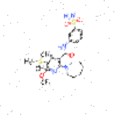 CS(C)(C)c1cc(C(=O)Nc2cccc(S(N)(=O)=O)c2)c(N2CCCCCC2)nc1OC(F)(F)F